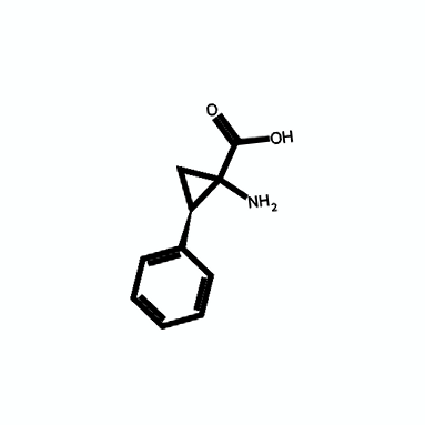 NC1(C(=O)O)C[C@@H]1c1ccccc1